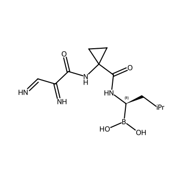 CC(C)C[C@H](NC(=O)C1(NC(=O)C(=N)C=N)CC1)B(O)O